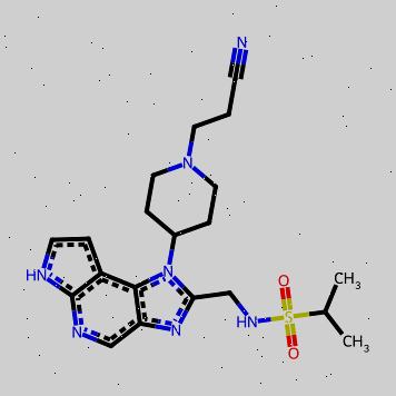 CC(C)S(=O)(=O)NCc1nc2cnc3[nH]ccc3c2n1C1CCN(CCC#N)CC1